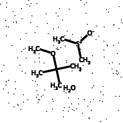 COC(C)(C)C.C[S+](C)[O-].O